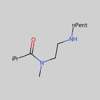 CCCCCNCCN(C)C(=O)C(C)C